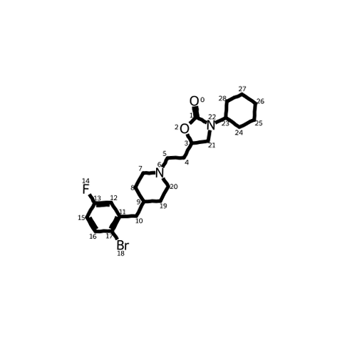 O=C1OC(CCN2CCC(Cc3cc(F)ccc3Br)CC2)CN1C1CCCCC1